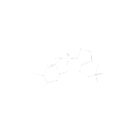 O=S(=O)(Nc1cc(F)c(Br)cc1F)c1c[nH]c2c1CCC(F)(F)C2